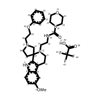 COc1ccc2[nH]c3c(c2c1)CCN(CCNC(=O)N1CCOCC1)C31CCN(CCOc2ccccc2)C1.O=C(O)C(F)(F)F